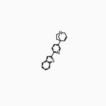 C1=CC2(c3ccc(-c4cc5ccccc5s4)nc3)CCN(C1)C2